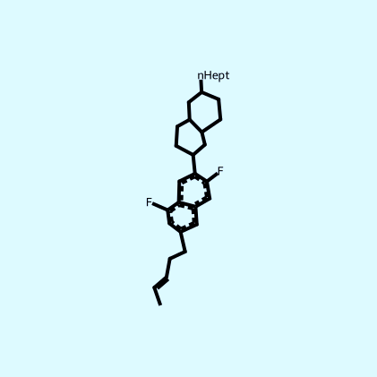 CC=CCCc1cc(F)c2cc(C3CCC4CC(CCCCCCC)CCC4C3)c(F)cc2c1